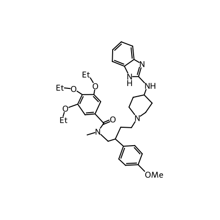 CCOc1cc(C(=O)N(C)CC(CCN2CCC(Nc3nc4ccccc4[nH]3)CC2)c2ccc(OC)cc2)cc(OCC)c1OCC